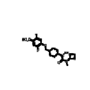 Cc1cc(OCC2CCC([C@H](N)C(=O)N(C)C3CCC3)CC2)c(F)cc1C(=O)O